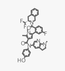 Cc1c(C(=O)N(c2ccc(O)cc2)c2cnc3c(c2)CCN3C)cc(-c2cc(F)ccc2C(=O)N2Cc3ccccc3C[C@H]2C(F)F)n1C